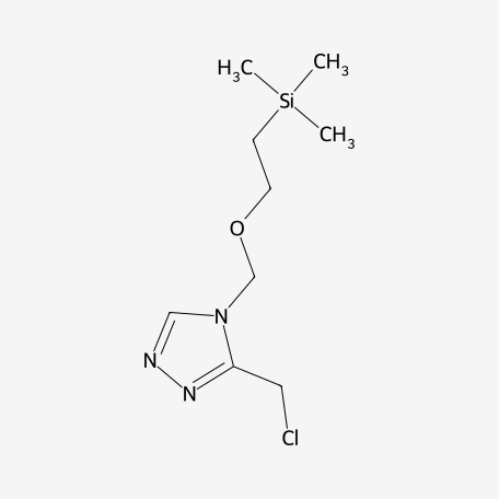 C[Si](C)(C)CCOCn1cnnc1CCl